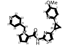 COc1ccc([C@H]2C[C@H]2c2csc(NC(=O)c3cccn3Cc3ccncc3)n2)nc1